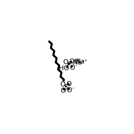 CCCCCCCCCCCCOS(=O)(=O)[O-].O=P([O-])(O)O.[Na+].[Na+]